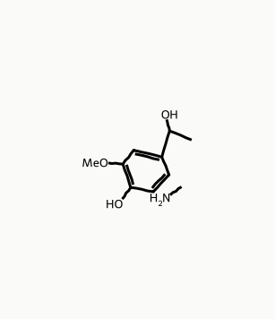 CN.COc1cc(C(C)O)ccc1O